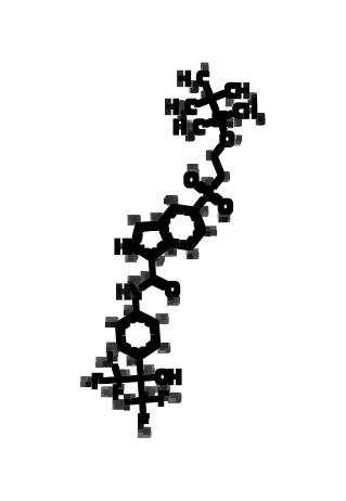 CC(C)(C)[Si](C)(C)OCCS(=O)(=O)c1ccc2c(C(=O)Nc3ccc(C(O)(C(F)(F)F)C(F)(F)F)cc3)[nH]cc2c1